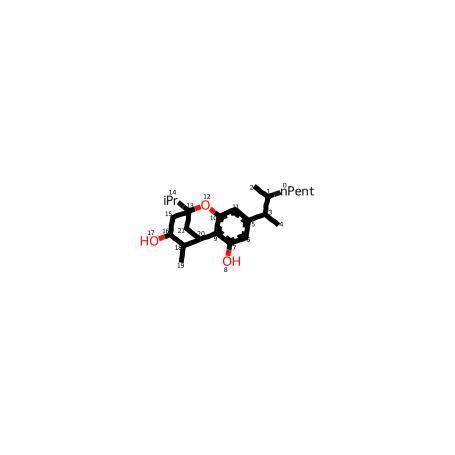 CCCCCC(C)C(C)c1cc(O)c2c(c1)OC1(C(C)C)CC(O)C(C)C2C1